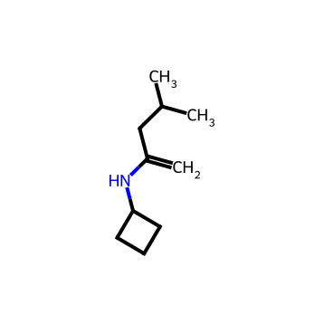 C=C(CC(C)C)NC1CCC1